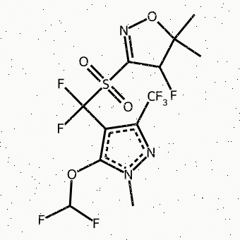 Cn1nc(C(F)(F)F)c(C(F)(F)S(=O)(=O)C2=NOC(C)(C)C2F)c1OC(F)F